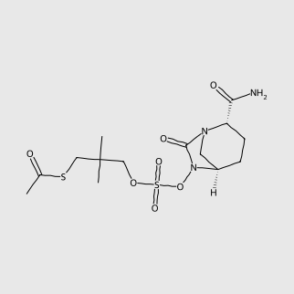 CC(=O)SCC(C)(C)COS(=O)(=O)ON1C(=O)N2C[C@H]1CC[C@H]2C(N)=O